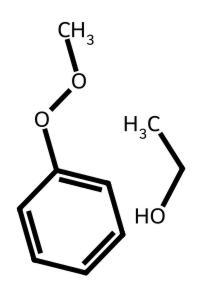 CCO.COOc1ccccc1